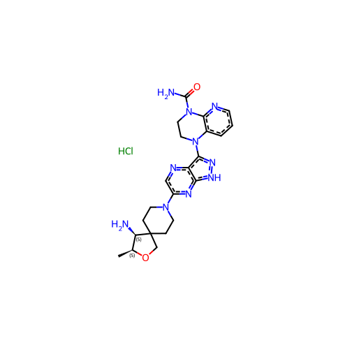 C[C@@H]1OCC2(CCN(c3cnc4c(N5CCN(C(N)=O)c6ncccc65)n[nH]c4n3)CC2)[C@@H]1N.Cl